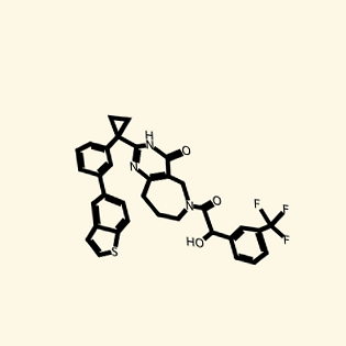 O=C(C(O)c1cccc(C(F)(F)F)c1)N1CCCc2nc(C3(c4cccc(-c5ccc6sccc6c5)c4)CC3)[nH]c(=O)c2C1